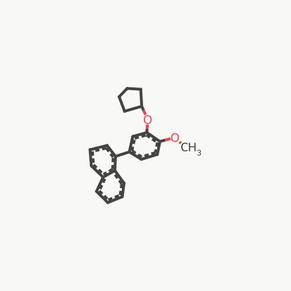 COc1ccc(-c2cccc3ccccc23)cc1OC1CCCC1